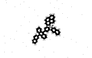 C[Si](c1ccc(-c2c3ccccc3c(-c3ccc4ccccc4c3)c3ccccc23)cc1)(c1ccc2ccccc2c1)c1ccc2ccc3cccc4ccc1c2c34